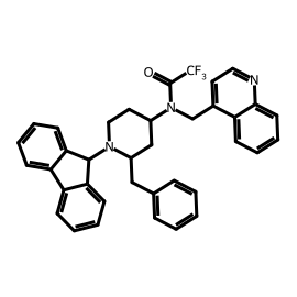 O=C(N(Cc1ccnc2ccccc12)C1CCN(C2c3ccccc3-c3ccccc32)C(Cc2ccccc2)C1)C(F)(F)F